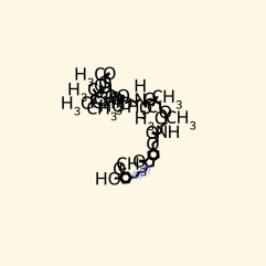 COc1cc(/C=C/C=C2/Cc3ccc(OCC(=O)NCCC(C)(C)OCCC(C)(C)OC(=O)NCCOP(=O)(O)OCC(COC(C)=O)OC(=O)C(C)(C)CC(C)(C)C)cc3C2=O)ccc1O